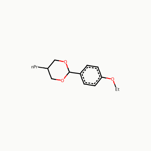 CCCC1COC(c2ccc(OCC)cc2)OC1